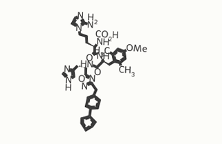 COc1cc(C)c(C[C@H](NC(=O)[C@@H](CCCn2ccnc2N)NC(=O)O)C(=O)N[C@@H](Cc2c[nH]cn2)c2nc(Cc3ccc(-c4ccccc4)cc3)no2)c(C)c1